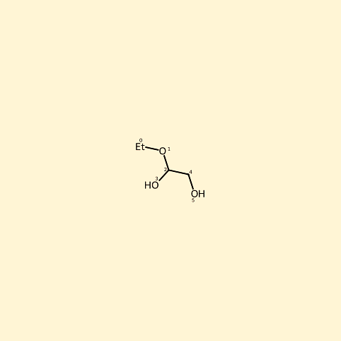 CCOC(O)CO